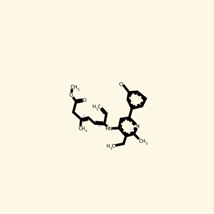 C=C/C(=C\C=C(/C)CC(=O)OC)Nc1cc(-c2cccc(Cl)c2)nc(C)c1CC